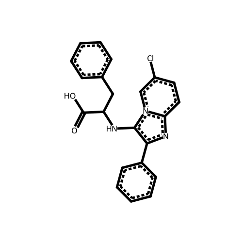 O=C(O)C(Cc1ccccc1)Nc1c(-c2ccccc2)nc2ccc(Cl)cn12